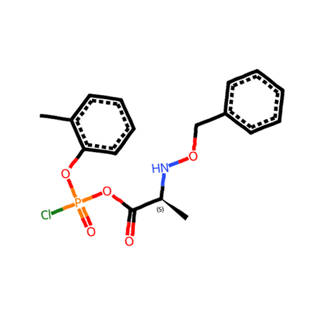 Cc1ccccc1OP(=O)(Cl)OC(=O)[C@H](C)NOCc1ccccc1